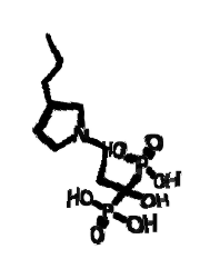 CCCC1CCN(CCC(O)(P(=O)(O)O)P(=O)(O)O)C1